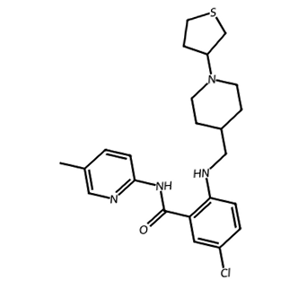 Cc1ccc(NC(=O)c2cc(Cl)ccc2NCC2CCN(C3CCSC3)CC2)nc1